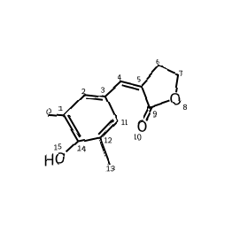 Cc1cc(C=C2CCOC2=O)cc(C)c1O